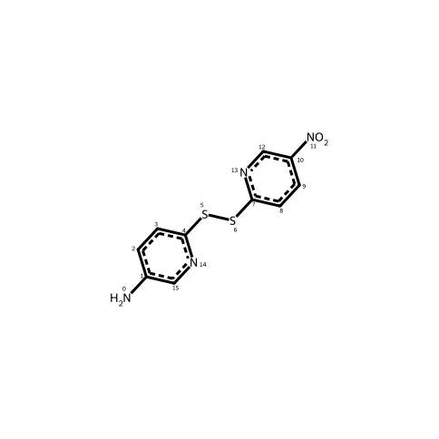 Nc1ccc(SSc2ccc([N+](=O)[O-])cn2)nc1